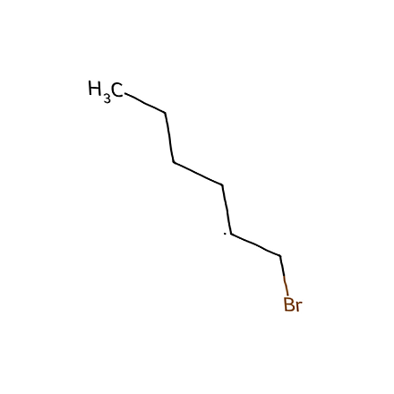 CCCC[CH]CBr